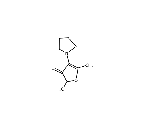 CC1=C(N2CCCC2)C(=O)C(C)O1